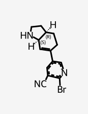 N#Cc1cc(C2=C[C@H]3NCC[C@H]3CC2)cnc1Br